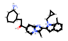 Cc1cccc2cc(-c3nc4cc(C(=O)CC5CCCC[C@@H](N)C5)ccn4c3C)n(CC3CC3)c12